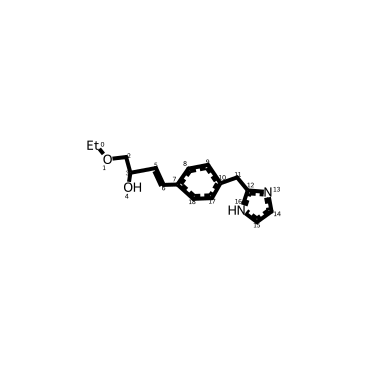 CCOCC(O)C=Cc1ccc(Cc2ncc[nH]2)cc1